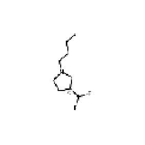 CCCCN1CC[C@H](C(F)F)C1